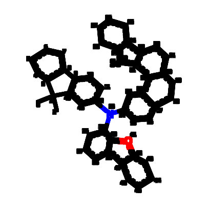 CC1(C)c2ccccc2-c2ccc(N(c3ccc4ccc5ccc6c7ccccc7[se]c6c5c4c3)c3cccc4c3oc3ccccc34)cc21